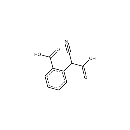 N#CC(C(=O)O)c1ccccc1C(=O)O